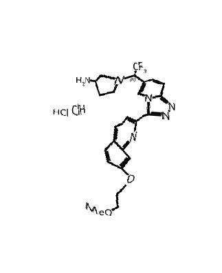 COCCOc1ccc2ccc(-c3nnc4ccc([C@@H](N5CCC(N)C5)C(F)(F)F)cn34)nc2c1.Cl.Cl